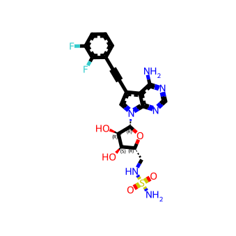 Nc1ncnc2c1c(C#Cc1cccc(F)c1F)cn2[C@@H]1O[C@H](CNS(N)(=O)=O)[C@@H](O)[C@H]1O